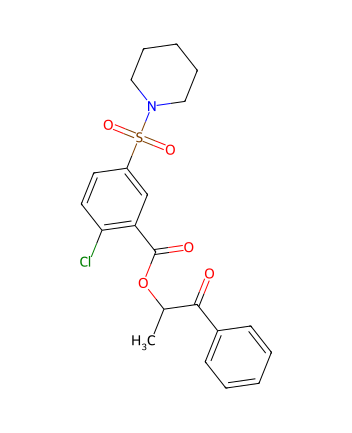 CC(OC(=O)c1cc(S(=O)(=O)N2CCCCC2)ccc1Cl)C(=O)c1ccccc1